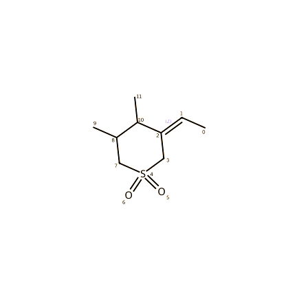 C/C=C1\CS(=O)(=O)CC(C)C1C